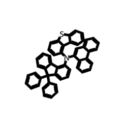 c1ccc(C2(c3ccccc3)c3ccccc3-c3c(N(c4cc5ccccc5c5ccccc45)c4cccc5sc6ccccc6c45)cccc32)cc1